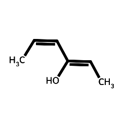 C/C=C\C(O)=C\C